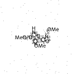 COCCCN1CCOc2ccc(CO[C@H]3CNC[C@@H](OCCOC)[C@@H]3c3ccc(OC)cc3)cc21